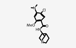 COc1cc(N(C)C)c(Cl)cc1C(=O)NC1CN2CCC1CC2